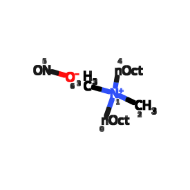 CCCCCCCC[N+](C)(C)CCCCCCCC.O=N[O-]